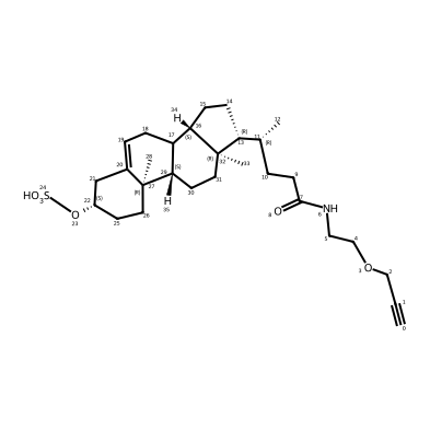 C#CCOCCNC(=O)CC[C@@H](C)[C@H]1CC[C@H]2C3CC=C4C[C@@H](OS(=O)(=O)O)CC[C@]4(C)[C@H]3CC[C@]12C